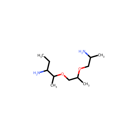 CCC(N)C(C)OCC(C)OCC(C)N